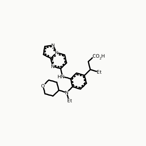 CCC(CC(=O)O)c1ccc(N(CC)C2CCOCC2)c(Nc2ccn3nccc3n2)c1